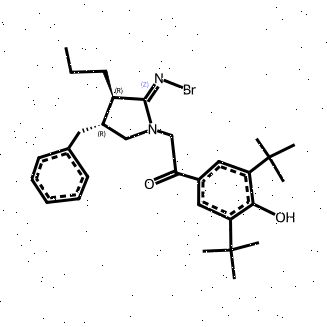 CCC[C@H]1/C(=N/Br)N(CC(=O)c2cc(C(C)(C)C)c(O)c(C(C)(C)C)c2)C[C@@H]1Cc1ccccc1